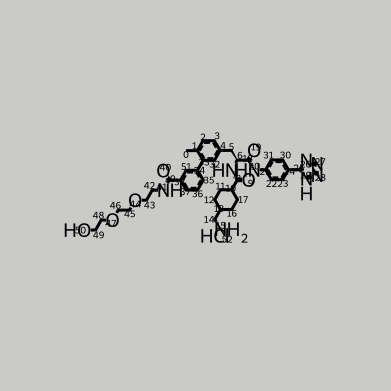 Cc1ccc(C[C@H](NC(=O)C2CCC(CN)CC2)C(=O)Nc2ccc(-c3nnn[nH]3)cc2)cc1-c1cccc(C(=O)NCCOCCOCCO)c1.Cl